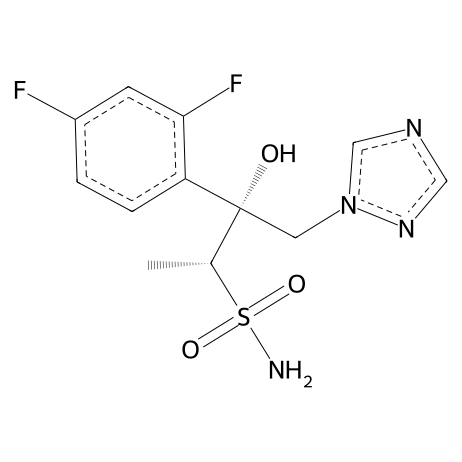 C[C@H]([C@](O)(Cn1cncn1)c1ccc(F)cc1F)S(N)(=O)=O